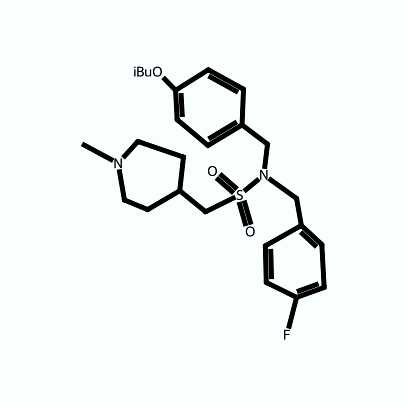 CC(C)COc1ccc(CN(Cc2ccc(F)cc2)S(=O)(=O)CC2CCN(C)CC2)cc1